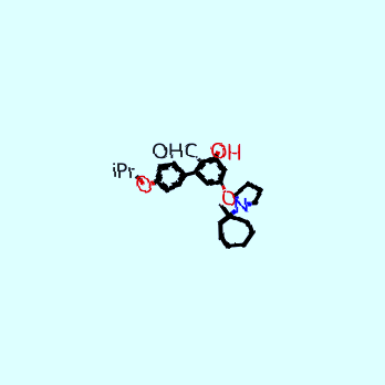 CC(C)Oc1ccc(-c2cc(OCC3(N4CCCC4)CCCCCC3)cc(O)c2C=O)cc1